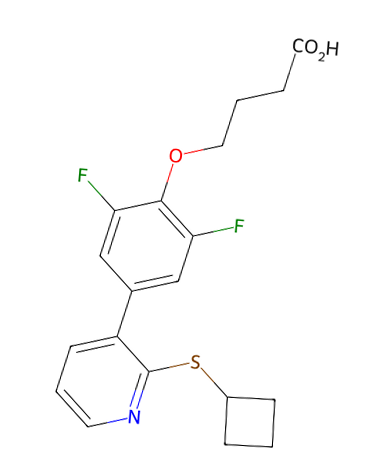 O=C(O)CCCOc1c(F)cc(-c2cccnc2SC2CCC2)cc1F